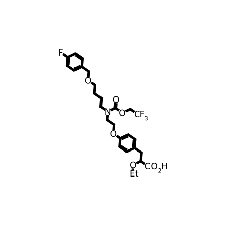 CCOC(Cc1ccc(OCCN(CCCCOCc2ccc(F)cc2)C(=O)OCC(F)(F)F)cc1)C(=O)O